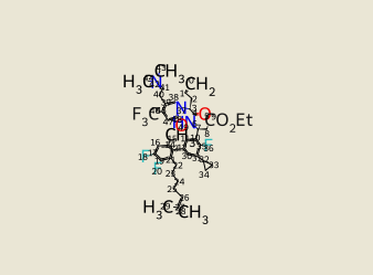 C=CC[C@@H](C(=O)N[C@@H](CC(=O)OCC)c1cc(-c2c(C)cc(F)c(F)c2CCCCC=C(C)C)cc(C2CC2)c1F)n1cc(CCN(C)C)c(C(F)(F)F)cc1=O